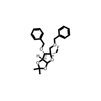 CC1(C)OC2O[C@](CF)(COCc3ccccc3)[C@@H](OCc3ccccc3)[C@H]2O1